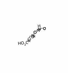 O=C(O)CN1CCC(CC2CC(c3ccc(C=NNCCc4ccccc4)cc3)=NO2)CC1